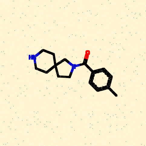 Cc1ccc(C(=O)N2CCC3(CCNCC3)C2)cc1